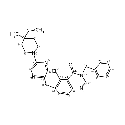 CCC1(C)CCN(c2cnc(Sc3ccc4ncn(Cc5ccccc5)c(=O)c4c3Cl)cn2)CC1